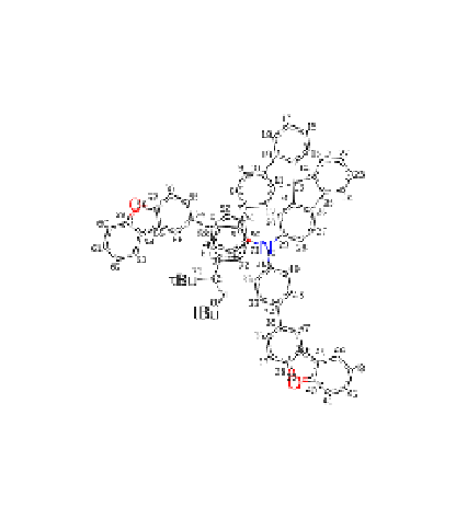 CC(C)(C)CC(c1ccc(-c2ccc3c(c2)C2(c4ccccc4-3)c3ccccc3-c3ccc(N(c4ccc(-c5ccc6oc7ccccc7c6c5)cc4)c4ccc(-c5ccc6oc7ccccc7c6c5)cc4)cc32)cc1)C(C)(C)C